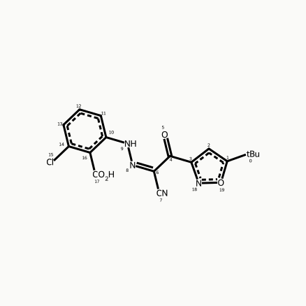 CC(C)(C)c1cc(C(=O)C(C#N)=NNc2cccc(Cl)c2C(=O)O)no1